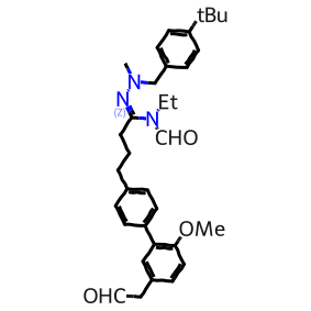 CCN(C=O)/C(CCCc1ccc(-c2cc(CC=O)ccc2OC)cc1)=N\N(C)Cc1ccc(C(C)(C)C)cc1